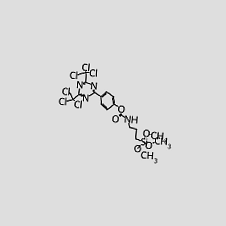 CO[Si](CCCNC(=O)Oc1ccc(-c2nc(C(Cl)(Cl)Cl)nc(C(Cl)(Cl)Cl)n2)cc1)(OC)OC